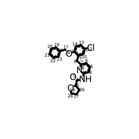 O=C(Nc1cccc(Cc2cc(Cl)ccc2OCc2ccccc2)n1)C1CCCO1